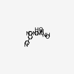 O=CNC/C(=N/O)N1CCN(c2ccnc3cc(-c4ccncc4)ccc23)CC1